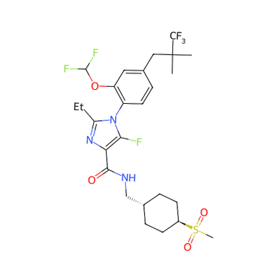 CCc1nc(C(=O)NC[C@H]2CC[C@H](S(C)(=O)=O)CC2)c(F)n1-c1ccc(CC(C)(C)C(F)(F)F)cc1OC(F)F